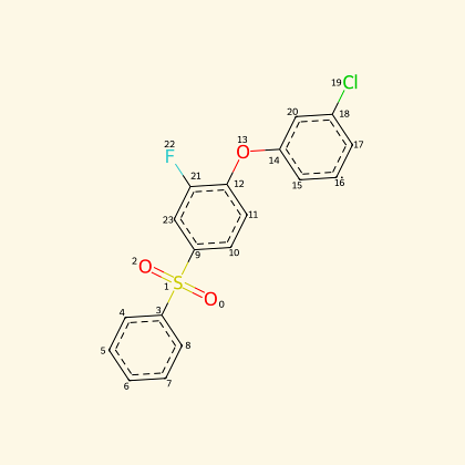 O=S(=O)(c1ccccc1)c1ccc(Oc2c[c]cc(Cl)c2)c(F)c1